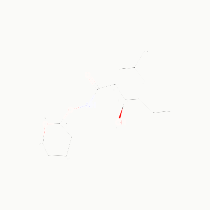 CCC[C@@H](O)[C@@H](CC(C)C)C(=O)NOC1CCCCO1